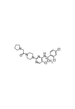 C[C@@H](Nc1nc(N2CCN(C(=O)CN3CCCC3)CC2)ncc1Cl)c1ccc(Cl)cc1Cl